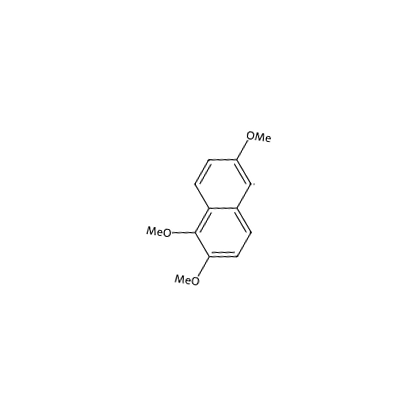 COc1[c]c2ccc(OC)c(OC)c2cc1